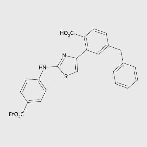 CCOC(=O)c1ccc(Nc2nc(-c3cc(Cc4ccccc4)ccc3C(=O)O)cs2)cc1